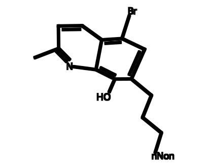 CCCCCCCCCCCCc1cc(Br)c2ccc(C)nc2c1O